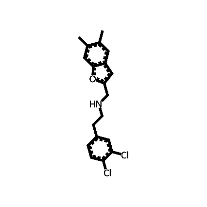 Cc1cc2cc(CNCCc3ccc(Cl)c(Cl)c3)oc2cc1C